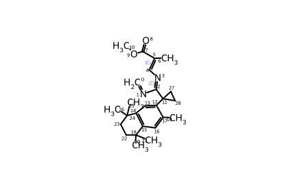 C=N/C(=N\C=C(/C)C(=O)OC)C1(c2cc3c(cc2C)C(C)(C)CCC3(C)C)CC1